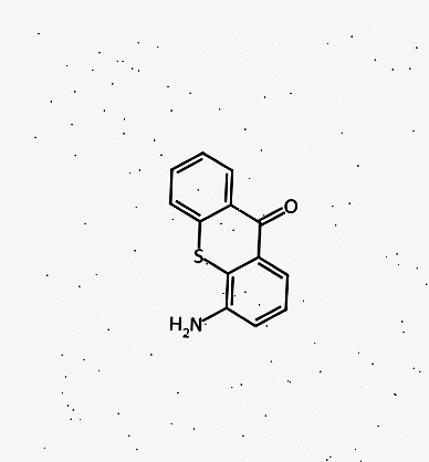 Nc1cccc2c(=O)c3ccccc3sc12